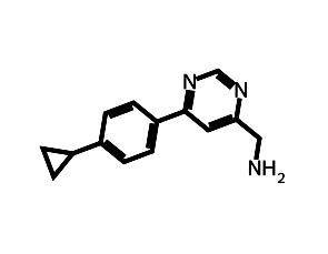 NCc1cc(-c2ccc(C3CC3)cc2)ncn1